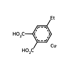 CCc1ccc(C(=O)O)c(C(=O)O)c1.[Cu]